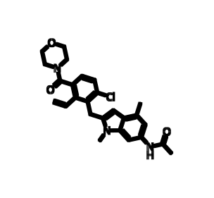 C=Cc1c(C(=O)N2CCOCC2)ccc(Cl)c1Cc1cc2c(C)cc(NC(C)=O)cc2n1C